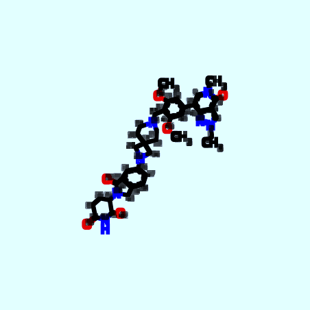 CCn1cc2c(=O)n(C)cc(-c3cc(OC)c(CN4CCC5(CC4)CN(c4ccc6c(c4)C(=O)N(C4CCC(=O)NC4=O)C6)C5)c(OC)c3)c2n1